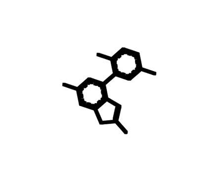 CC1=Cc2c(cc(C)cc2-c2cc(C)ccc2C)C1